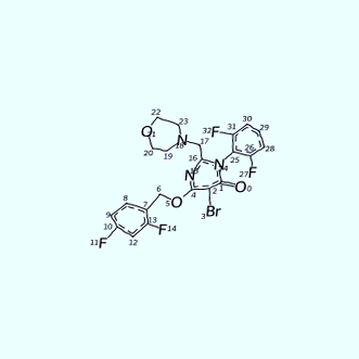 O=c1c(Br)c(OCc2ccc(F)cc2F)nc(CN2CCOCC2)n1-c1c(F)cccc1F